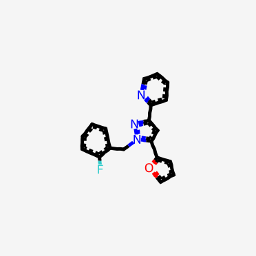 Fc1ccccc1Cn1nc(-c2ccccn2)cc1-c1ccco1